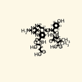 CC1(C)S[C@@H]2[C@H](NC(=O)[C@H](N)c3ccc(O)cc3)C(=O)N2[C@H]1C(=O)O.CN(Cc1cnc2nc(N)nc(N)c2n1)c1ccc(C(=O)N[C@@H](CCC(=O)O)C(=O)O)cc1